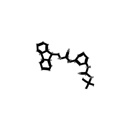 CC(C)(C)OC(=O)Nc1[c]c(NC(=O)OCC2c3ccccc3-c3ccccc32)ccc1